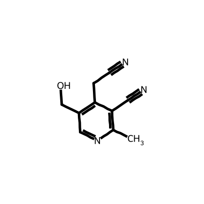 Cc1ncc(CO)c(CC#N)c1C#N